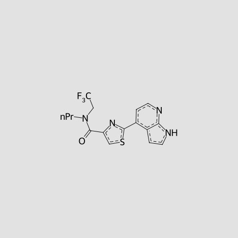 CCCN(CC(F)(F)F)C(=O)c1csc(-c2ccnc3[nH]ccc23)n1